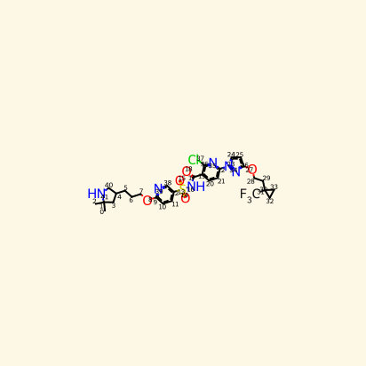 CC1(C)CC(CCCOc2ccc(S(=O)(=O)NC(=O)c3ccc(-n4ccc(OCCC5(C(F)(F)F)CC5)n4)nc3Cl)cn2)CN1